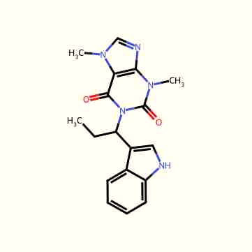 CCC(c1c[nH]c2ccccc12)n1c(=O)c2c(ncn2C)n(C)c1=O